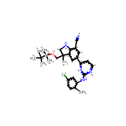 Cc1ccc(Cl)cc1Nc1nccc(-c2cc(C#N)c3c(c2)C(C)(CO[Si](C)(C)C(C)(C)C)CN3)n1